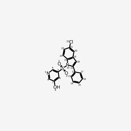 O=S(=O)(c1cncc(O)c1)n1c(-c2ccccc2)cc2cc(Cl)ccc21